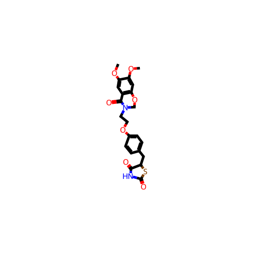 COc1cc2c(cc1OC)C(=O)N(CCOc1ccc(CC3SC(=O)NC3=O)cc1)CO2